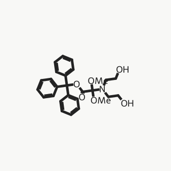 COC(OC)(C(=O)OC(c1ccccc1)(c1ccccc1)c1ccccc1)N(CCO)CCO